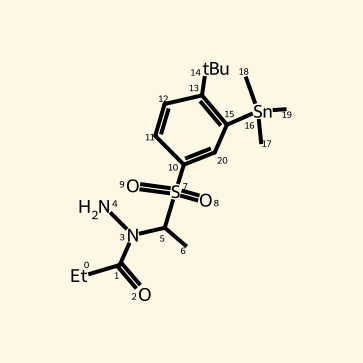 CCC(=O)N(N)C(C)S(=O)(=O)c1ccc(C(C)(C)C)[c]([Sn]([CH3])([CH3])[CH3])c1